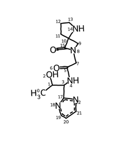 CC(O)C(NC(=O)CN1CC2(CCCN2)C1=O)c1ncccn1